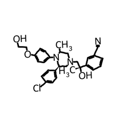 CC1CN(C[C@@](C)(O)c2cccc(C#N)c2)C[C@@H](c2ccc(Cl)cc2)N1c1ccc(OCCO)cc1